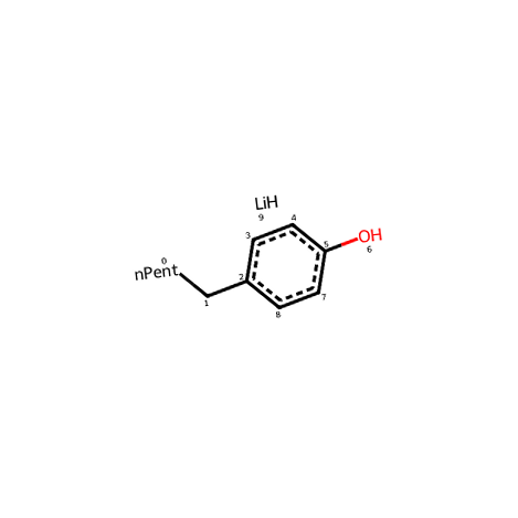 CCCCCCc1ccc(O)cc1.[LiH]